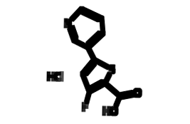 Cl.O=C(O)c1sc(-c2cccnc2)cc1F